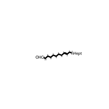 CCCCCCCC/C=C/CCCCCCC[C]=O